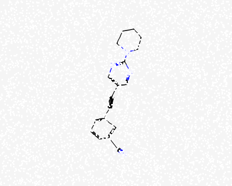 N#Cc1cccc(C#Cc2cnc(N3CCCCC3)nc2)c1